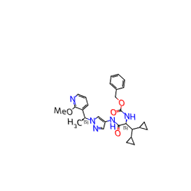 COc1ncccc1[C@H](C)n1cc(NC(=O)[C@@H](NC(=O)OCc2ccccc2)C(C2CC2)C2CC2)cn1